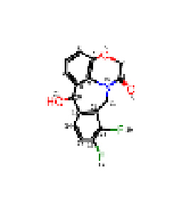 O=C1COc2cccc3c2N1Cc1c(ccc(F)c1F)C3O